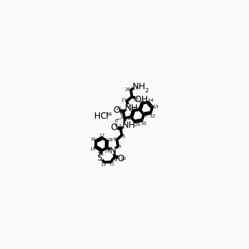 C[C@](NC(=O)CCCN1C(=O)CCSc2ccccc21)(C(=O)NCC(O)CN)c1ccc2ccccc2c1.Cl